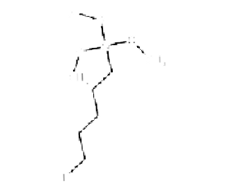 CO[Si](CCCCCF)(OC)OC